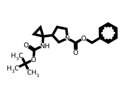 CC(C)(C)OC(=O)NC1(C2CCN(C(=O)OCc3ccccc3)C2)CC1